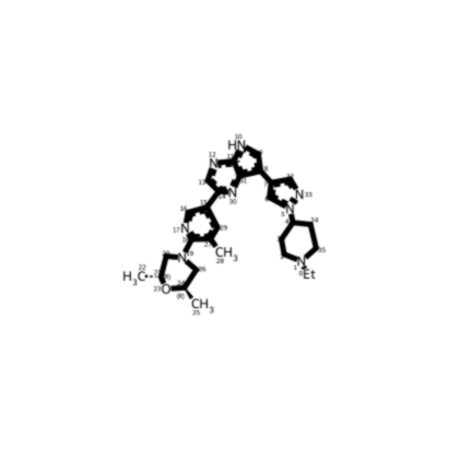 CCN1CCC(n2cc(-c3c[nH]c4ncc(-c5cnc(N6C[C@@H](C)O[C@H](C)C6)c(C)c5)nc34)cn2)CC1